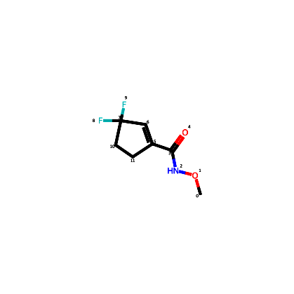 CONC(=O)C1=CC(F)(F)CC1